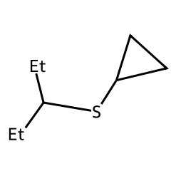 CCC(CC)SC1CC1